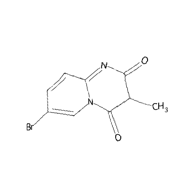 CC1C(=O)N=C2C=CC(Br)=CN2C1=O